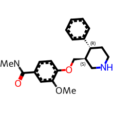 CNC(=O)c1ccc(OC[C@@H]2CNCC[C@H]2c2ccccc2)c(OC)c1